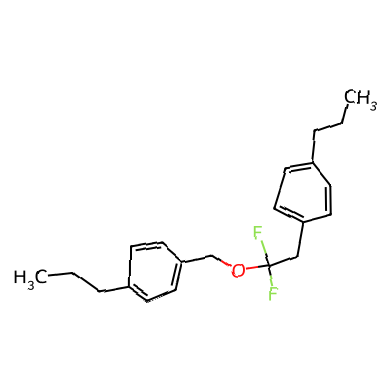 CCCc1ccc(COC(F)(F)Cc2ccc(CCC)cc2)cc1